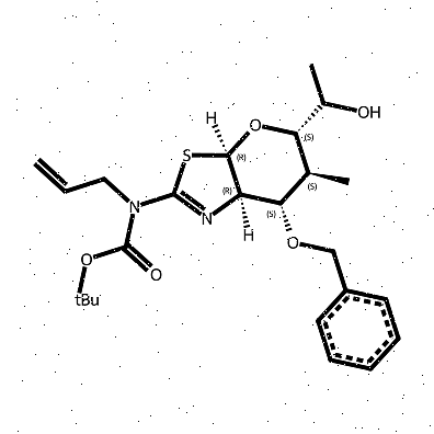 C=CCN(C(=O)OC(C)(C)C)C1=N[C@@H]2[C@@H](OCc3ccccc3)[C@H](C)[C@@H](C(C)O)O[C@@H]2S1